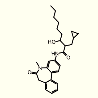 CCCCCCC(O)C(CC1CC1)C(=O)Nc1ccc2c(c1)N(C)C(=O)Cc1ccccc1-2